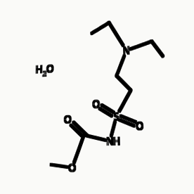 CCN(CC)CCS(=O)(=O)NC(=O)OC.O